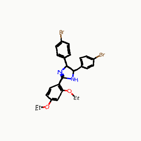 CCOc1ccc(C2=NC(c3ccc(Br)cc3)C(c3ccc(Br)cc3)N2)c(OCC)c1